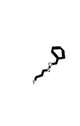 FCCCSOCc1ccccc1